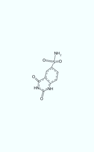 NS(=O)(=O)c1ccc2[nH]c(=O)[nH]c(=O)c2c1